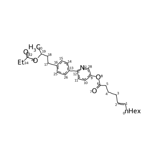 CCCCCCC=CCCCC(=O)Oc1ccc(-c2ccc(CCC(C)OC(=O)CC)cc2)nc1